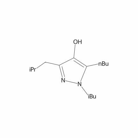 CCCCc1c(O)c(CC(C)C)nn1C(C)CC